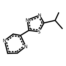 CC(C)c1nnc(-c2cnccn2)s1